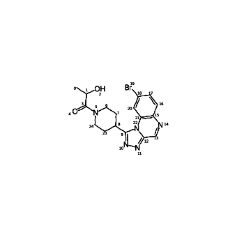 CC(O)C(=O)N1CCC(c2nnc3cnc4ccc(Br)cc4n23)CC1